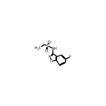 CCS(=O)(=O)Nc1noc2ccc(F)cc12